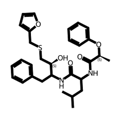 CC(C)CC(NC(=O)[C@H](C)Oc1ccccc1)C(=O)NC(Cc1ccccc1)[C@H](O)CSCc1ccco1